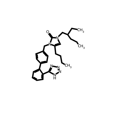 CCCCc1cn(CC(CC)CCC)c(=O)n1Cc1ccc(-c2ccccc2-c2nnn[nH]2)cc1